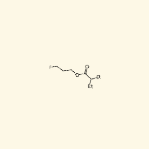 CCC(CC)C(=O)OCCCF